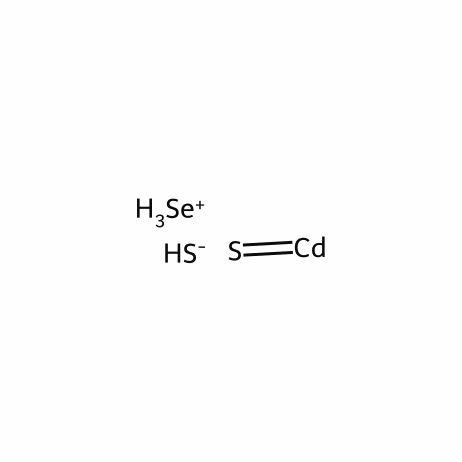 [SH-].[S]=[Cd].[SeH3+]